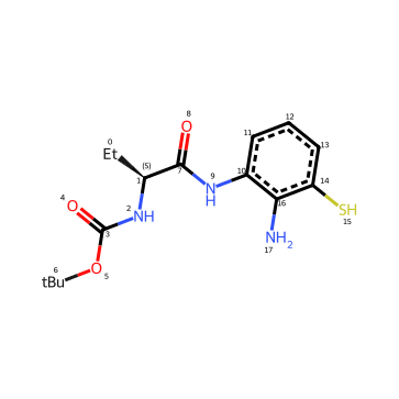 CC[C@H](NC(=O)OC(C)(C)C)C(=O)Nc1cccc(S)c1N